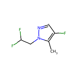 Cc1c(F)[c]nn1CC(F)F